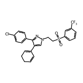 O=S(=O)(CCn1cc(C2=CCCC=C2)c(-c2ccc(Cl)cc2)n1)c1cccc(C(F)(F)F)c1